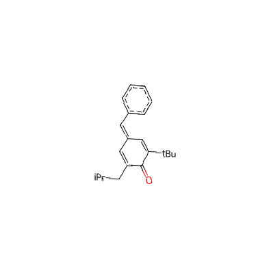 CC(C)CC1=C/C(=C/c2ccccc2)C=C(C(C)(C)C)C1=O